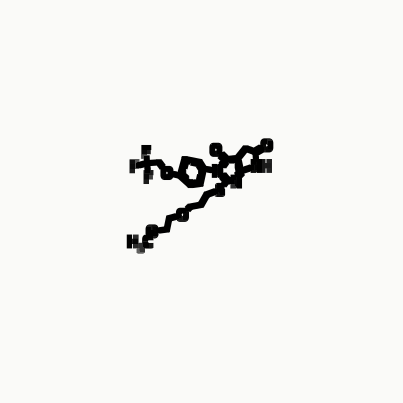 COCCOCCCSc1nc2c(c(=O)n1-c1ccc(OCC(F)(F)F)cc1)CC(=O)N2